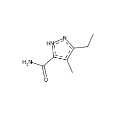 CCc1n[nH]c(C(N)=O)c1C